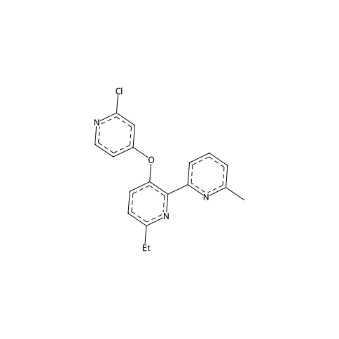 CCc1ccc(Oc2ccnc(Cl)c2)c(-c2cccc(C)n2)n1